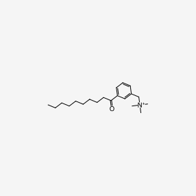 CCCCCCCCCC(=O)c1cccc(C[N+](C)(C)C)c1